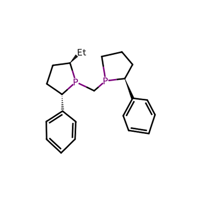 CC[C@@H]1CC[C@@H](c2ccccc2)P1CP1CCC[C@H]1c1ccccc1